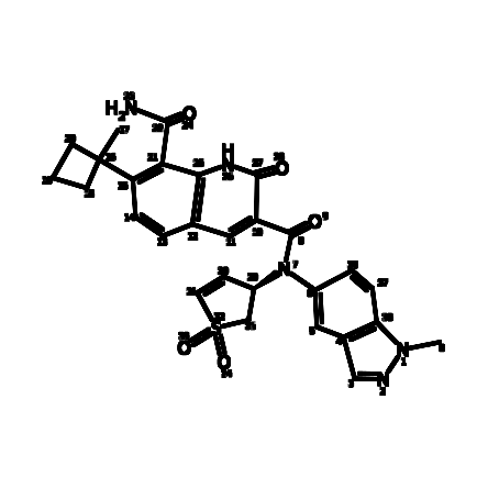 Cn1ncc2cc(N(C(=O)c3cc4ccc(C5(C)CCC5)c(C(N)=O)c4[nH]c3=O)[C@@H]3C=CS(=O)(=O)C3)ccc21